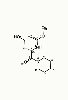 CC(C)(C)OC(=O)N[C@@H](CCO)C(=O)N1CCCCC1